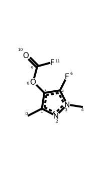 Cc1nn(C)c(F)c1OC(=O)F